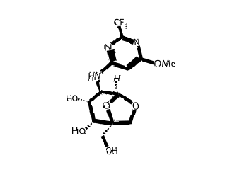 COc1cc(N[C@H]2[C@H]3OC[C@](CO)(O3)[C@H](O)[C@@H]2O)nc(C(F)(F)F)n1